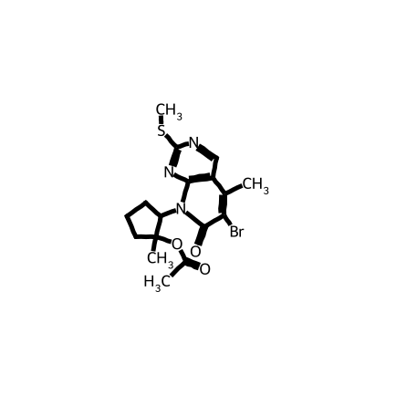 CSc1ncc2c(C)c(Br)c(=O)n(C3CCCC3(C)OC(C)=O)c2n1